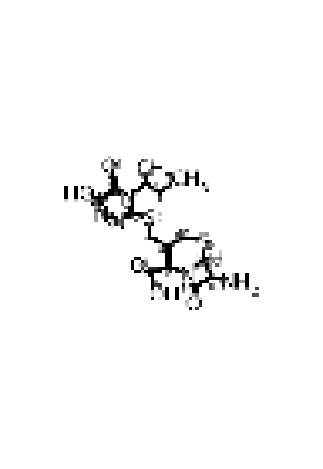 CCC(C)n1c(SCC2=C(C(=O)O)N3C(=O)C(N)[C@H]3SC2)nnc(O)c1=O